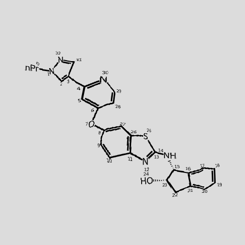 CCCn1cc(-c2cc(Oc3ccc4nc(N[C@@H]5c6ccccc6C[C@@H]5O)sc4c3)ccn2)cn1